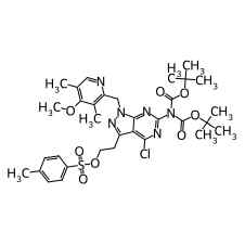 COc1c(C)cnc(Cn2nc(CCOS(=O)(=O)c3ccc(C)cc3)c3c(Cl)nc(N(C(=O)OC(C)(C)C)C(=O)OC(C)(C)C)nc32)c1C